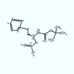 CC(C)(C)OC(=O)N[C@H](CCc1ccccc1)C[N+](=O)[O-]